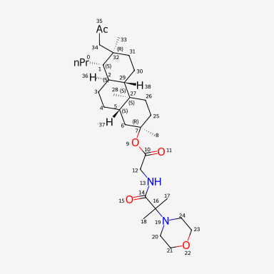 CCC[C@H]1[C@@H]2CC[C@H]3C[C@](C)(OC(=O)CNC(=O)C(C)(C)N4CCOCC4)CC[C@]3(C)[C@H]2CC[C@]1(C)CC(C)=O